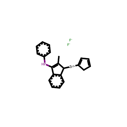 CC1=C(Pc2ccccc2)c2ccccc2[CH]1[Zr+2][C]1=CC=CC1.[F-].[F-]